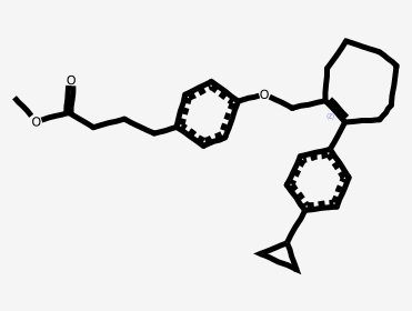 COC(=O)CCCc1ccc(OC/C2=C(\c3ccc(C4CC4)cc3)CCCCCC2)cc1